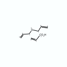 C=CC(=O)O.C=CCOCC=C